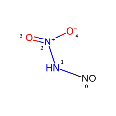 O=NN[N+](=O)[O-]